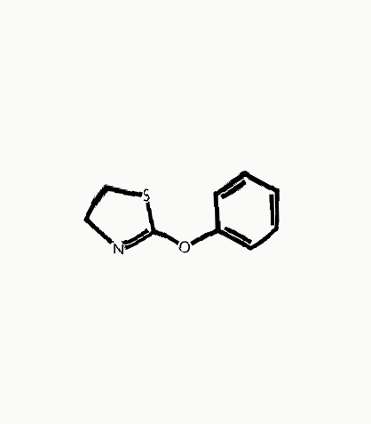 c1ccc(OC2=NCCS2)cc1